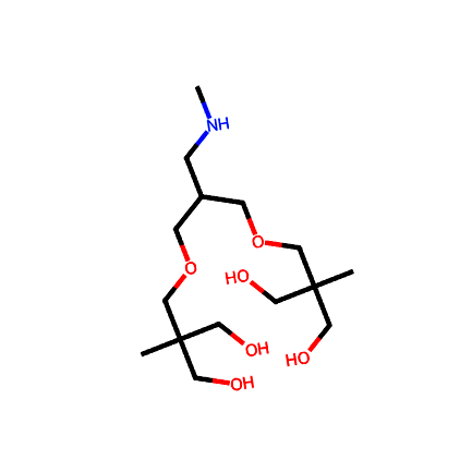 CNCC(COCC(C)(CO)CO)COCC(C)(CO)CO